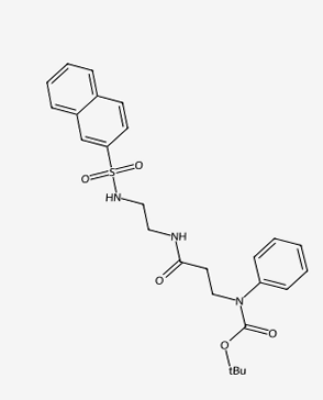 CC(C)(C)OC(=O)N(CCC(=O)NCCNS(=O)(=O)c1ccc2ccccc2c1)c1ccccc1